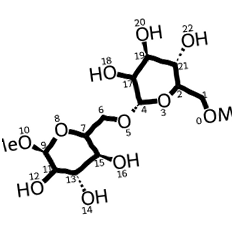 COCC1O[C@H](OCC2O[C@H](OC)C(O)[C@@H](O)[C@@H]2O)C(O)[C@@H](O)[C@@H]1O